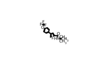 CC(C)(C)NC(=O)c1cc(-c2ccc(OC(F)(F)F)cc2)cs1